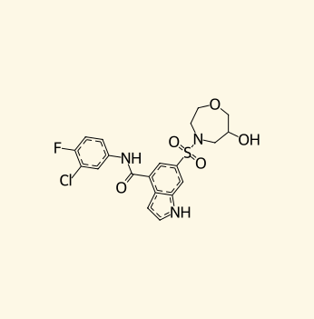 O=C(Nc1ccc(F)c(Cl)c1)c1cc(S(=O)(=O)N2CCOCC(O)C2)cc2[nH]ccc12